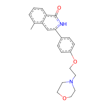 Cc1cccc2c(=O)[nH]c(-c3ccc(OCCN4CCOCC4)cc3)cc12